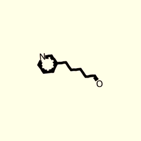 O=CCCCCc1cccnc1